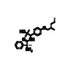 CCCC(C)COc1ccc([C@@H](NC(=O)[C@@](C)(N)c2ccccc2)C(C)(C)O)cc1